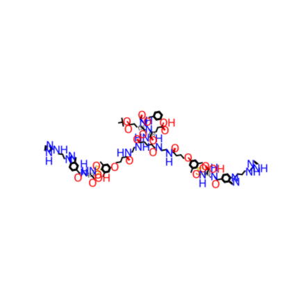 Cc1cc(OCCCC(=O)NCCNC(=O)CCC(NC(=O)[C@H](CCC(=O)O)NC(=O)[C@H](CCC(=O)OC(C)(C)C)N(C=O)OCc2ccccc2)C(=O)NCCNC(=O)CCCOc2cc(C)c(S(=O)(=O)N[C@@H](CNC(=O)c3ccc4c(cnn4CCCNc4ncc[nH]4)c3)C(=O)O)c(C)c2)cc(C)c1S(=O)(=O)N[C@@H](CNC(=O)c1ccc2c(cnn2CCCNc2ncc[nH]2)c1)C(=O)O